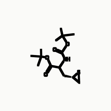 CC(C)(C)OC(=O)NC(C[C@H]1CS1)C(=O)OC(C)(C)C